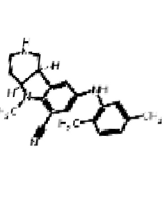 Cc1ccc(C)c(Nc2cc(C#N)c3c(c2)[C@@H]2CNCC[C@@H]2N3C)c1